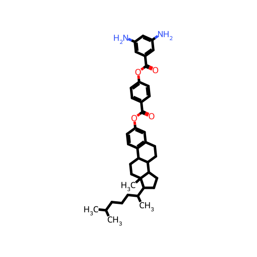 CC(C)CCCC(C)C1CCC2C3CCc4cc(OC(=O)c5ccc(OC(=O)c6cc(N)cc(N)c6)cc5)ccc4C3CCC12C